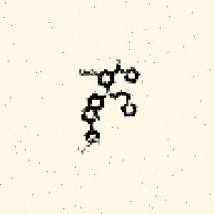 COc1cc(C(=O)N2CCCC2)cc(N(CCCN2CCCC2)c2ccc3ncc(-c4cnn(C)c4)nc3c2)c1